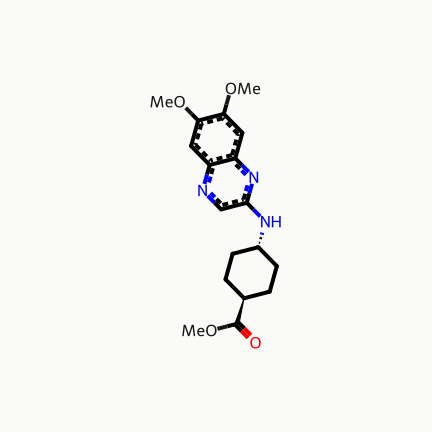 COc1cc2ncc(N[C@H]3CC[C@H](C(=O)OC)CC3)nc2cc1OC